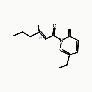 C=C1C=CC(CC)=NN1C(=O)/C=C(\C)CCC